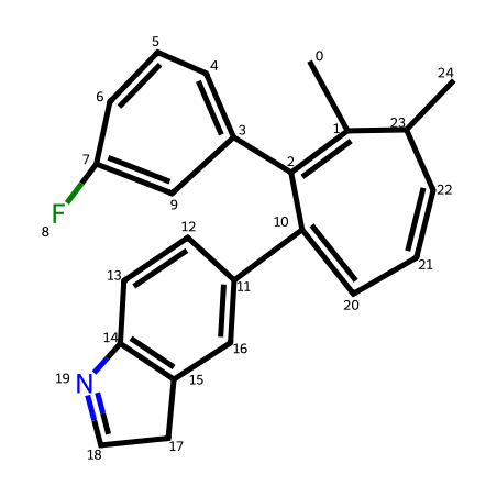 CC1=C(c2cccc(F)c2)C(c2ccc3c(c2)CC=N3)=CC=CC1C